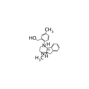 Cc1ccc(N2CCN(C)[C@H]3Cc4ccccc4[C@@H]32)c(CO)c1